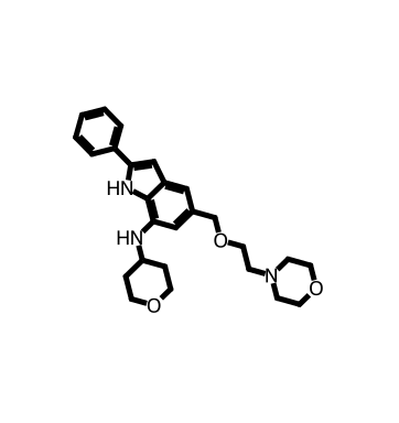 c1ccc(-c2cc3cc(COCCN4CCOCC4)cc(NC4CCOCC4)c3[nH]2)cc1